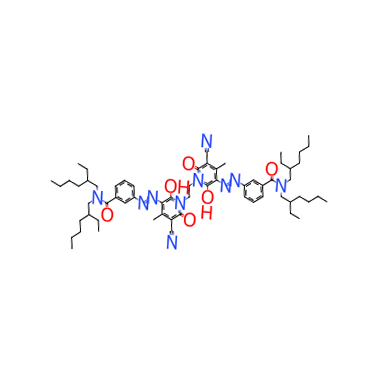 CCCCC(CC)CN(CC(CC)CCCC)C(=O)c1cccc(/N=N/c2c(C)c(C#N)c(=O)n(CCn3c(O)c(/N=N/c4cccc(C(=O)N(CC(CC)CCCC)CC(CC)CCCC)c4)c(C)c(C#N)c3=O)c2O)c1